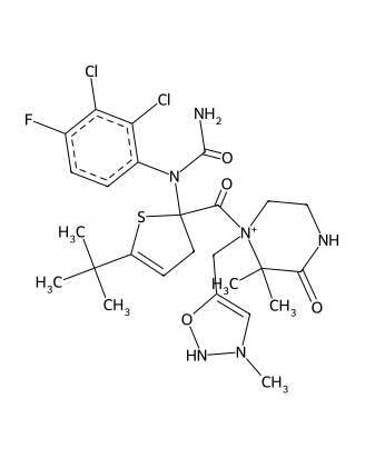 CN1C=C(C[N+]2(C(=O)C3(N(C(N)=O)c4ccc(F)c(Cl)c4Cl)CC=C(C(C)(C)C)S3)CCNC(=O)C2(C)C)ON1